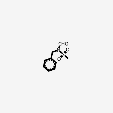 CS(=O)(=O)N([C]=O)Cc1ccccc1